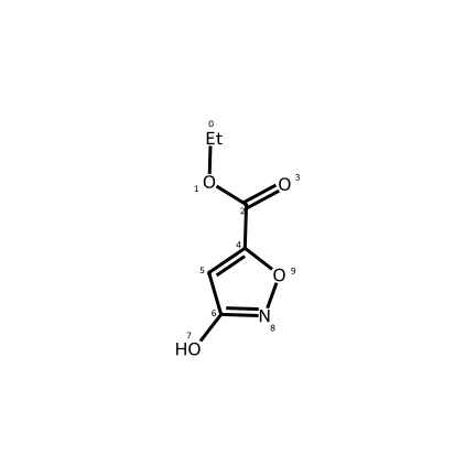 CCOC(=O)c1cc(O)no1